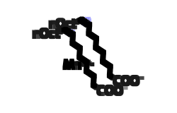 CCCCCCCC/C=C\CCCCCCCC(=O)[O-].CCCCCCCC/C=C\CCCCCCCC(=O)[O-].[Mn+2]